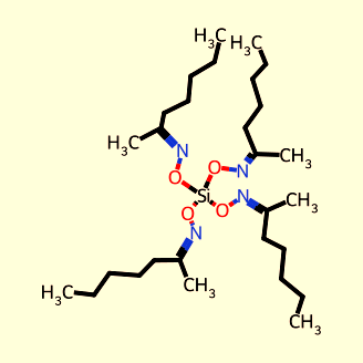 CCCCCC(C)=NO[Si](ON=C(C)CCCCC)(ON=C(C)CCCCC)ON=C(C)CCCCC